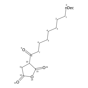 CCCCCCCCCCCCCCCCCC(=O)C1CC(=O)OC1=O